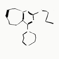 CC[C@@H](C)Oc1nc2c(c(N3CCNCC3)n1)CCC#CC2